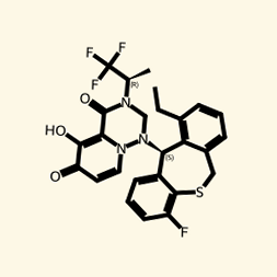 CCc1cccc2c1[C@H](N1CN([C@H](C)C(F)(F)F)C(=O)c3c(O)c(=O)ccn31)c1cccc(F)c1SC2